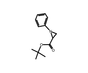 CC(C)(C)OC(=O)C1CN1c1ccccc1